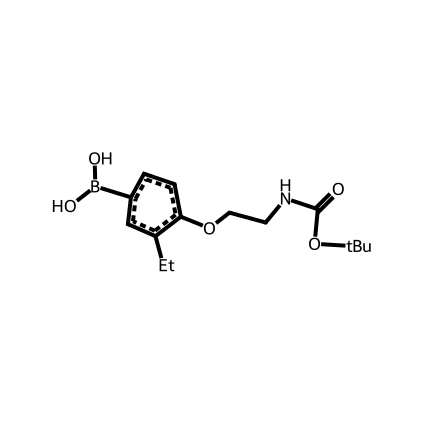 CCc1cc(B(O)O)ccc1OCCNC(=O)OC(C)(C)C